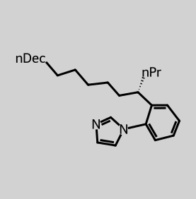 CCCCCCCCCCCCCCC[C@H](CCC)c1ccccc1-n1ccnc1